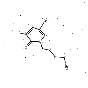 Cc1cc(Br)cn(CCCCBr)c1=O